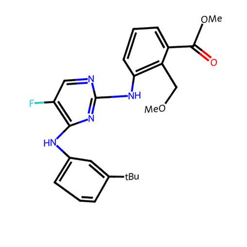 COCc1c(Nc2ncc(F)c(Nc3cccc(C(C)(C)C)c3)n2)cccc1C(=O)OC